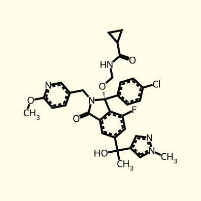 COc1ccc(CN2C(=O)c3cc(C(C)(O)c4cnn(C)c4)cc(F)c3[C@]2(OCNC(=O)C2CC2)c2ccc(Cl)cc2)cn1